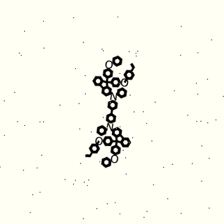 C=Cc1ccc(Oc2ccc(C3(c4ccc(Oc5ccccc5)cc4)c4ccccc4-c4ccc(N(c5ccccc5)c5ccc(-c6ccc(N(c7ccccc7)c7ccc8c(c7)C(c7ccc(Oc9ccccc9)cc7)(c7ccc(Oc9ccc(C=C)cc9)cc7)c7ccccc7-8)cc6)cc5)cc43)cc2)cc1